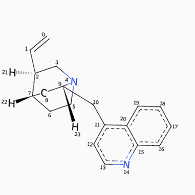 C=C[C@H]1CN2CC[C@H]1C[C@H]2Cc1ccnc2ccccc12